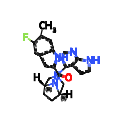 Cc1cc2[nH]c(C(=O)N3[C@@H]4CC[C@H]3CN(c3ncnc5[nH]ccc35)C4)cc2cc1F